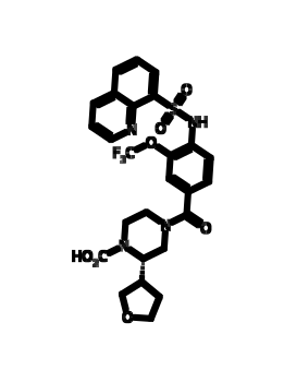 O=C(c1ccc(NS(=O)(=O)c2cccc3cccnc23)c(OC(F)(F)F)c1)N1CCN(C(=O)O)[C@@H](C2CCOC2)C1